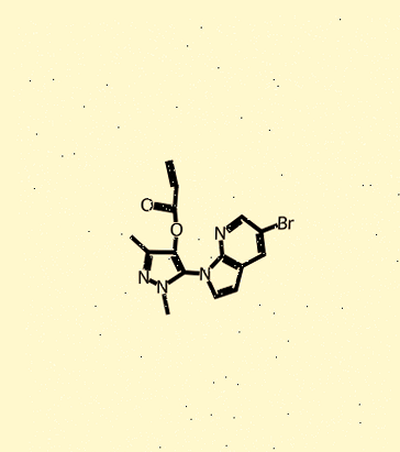 C=CC(=O)Oc1c(C)nn(C)c1-n1ccc2cc(Br)cnc21